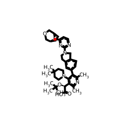 Cc1nc(C)c([C@H](OC(C)(C)C)C(=O)O)c(N2CCC(C)(C)CC2)c1-c1ccc2c(c1)CCN(c1nccc(N3C4CCC3COC4)n1)C2